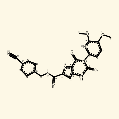 COc1ccc(-n2c(=O)[nH]c3cc(C(=O)NCc4ccc(C#N)cc4)sc3c2=O)nc1OC